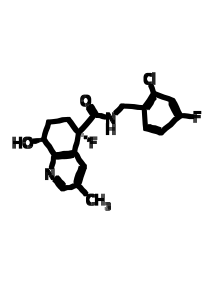 Cc1cnc2c(c1)[C@](F)(C(=O)NCc1ccc(F)cc1Cl)CC[C@@H]2O